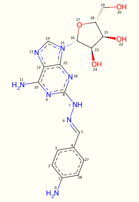 Nc1ccc(/C=N/Nc2nc(N)c3ncn([C@@H]4O[C@H](CO)[C@@H](O)[C@H]4O)c3n2)cc1